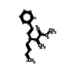 C=CC=CC(C=Cc1ccccc1)C(=C)C(=O)OC